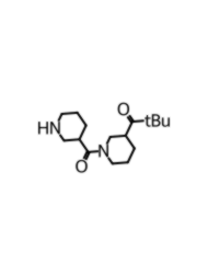 CC(C)(C)C(=O)C1CCCN(C(=O)C2CCCNC2)C1